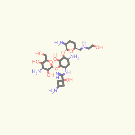 N=C(N[C@@H]1C[C@H](N)C(O[C@H]2O[C@H](CNCCO)CCC2N)C(O)C1O[C@H]1OC(CO)C(O)[C@H](N)C1O)C1(O)CC(N)C1